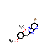 COc1ccc(OC)c(Cc2nc3ncc(Br)cc3[nH]2)c1